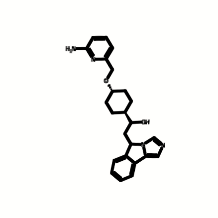 Nc1cccc(CO[C@H]2CC[C@H](C(O)CC3c4ccccc4-c4cncn43)CC2)n1